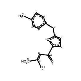 Cc1ccc(Cc2ccc(C(=O)C=C(O)C(=O)O)o2)cc1